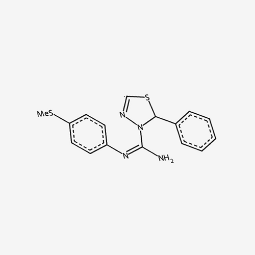 CSc1ccc(N=C(N)N2N=[C]SC2c2ccccc2)cc1